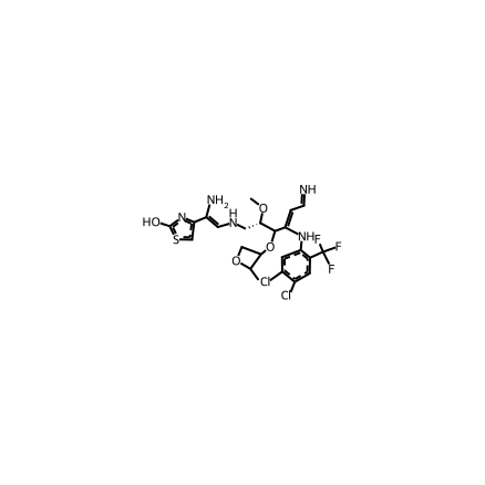 CO[C@@H](CN/C=C(\N)c1csc(O)n1)C(OC1COC1C)/C(=C/C=N)Nc1cc(Cl)c(Cl)cc1C(F)(F)F